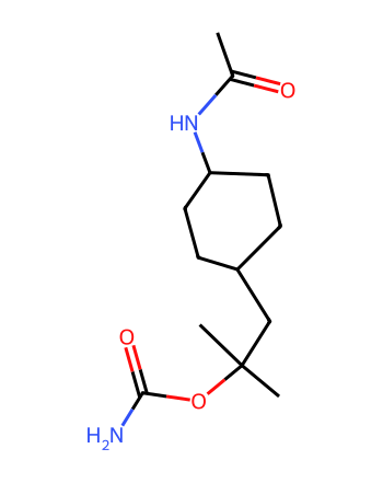 CC(=O)NC1CCC(CC(C)(C)OC(N)=O)CC1